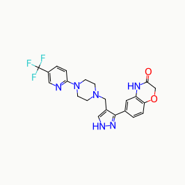 O=C1COc2ccc(-c3n[nH]cc3CN3CCN(c4ccc(C(F)(F)F)cn4)CC3)cc2N1